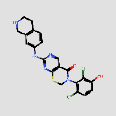 O=C1c2cnc(Nc3ccc4c(c3)CNCC4)nc2SCN1c1c(Cl)ccc(O)c1Cl